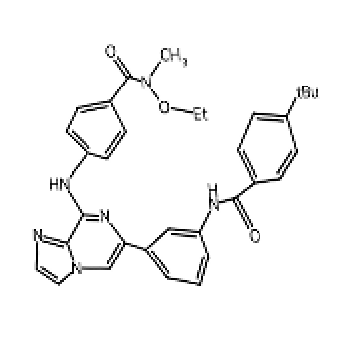 CCON(C)C(=O)c1ccc(Nc2nc(-c3cccc(NC(=O)c4ccc(C(C)(C)C)cc4)c3)cn3ccnc23)cc1